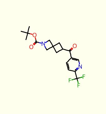 CC(C)(C)OC(=O)N1CC2(CC(C(=O)c3ccc(C(F)(F)F)nc3)C2)C1